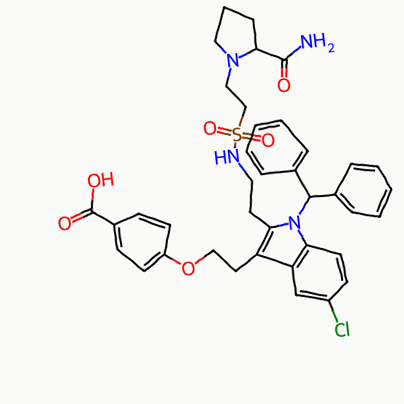 NC(=O)C1CCCN1CCS(=O)(=O)NCCc1c(CCOc2ccc(C(=O)O)cc2)c2cc(Cl)ccc2n1C(c1ccccc1)c1ccccc1